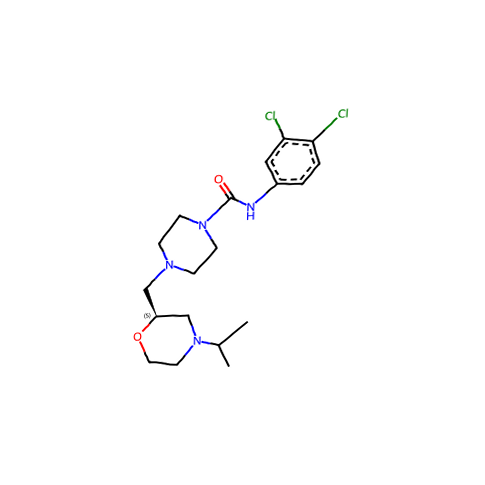 CC(C)N1CCO[C@@H](CN2CCN(C(=O)Nc3ccc(Cl)c(Cl)c3)CC2)C1